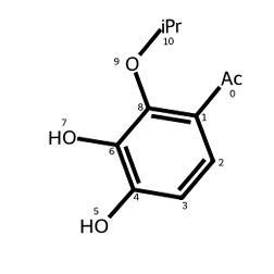 CC(=O)c1ccc(O)c(O)c1OC(C)C